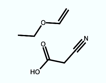 C=COCC.N#CCC(=O)O